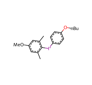 CCCCOc1ccc([I+]c2c(C)cc(OC)cc2C)cc1